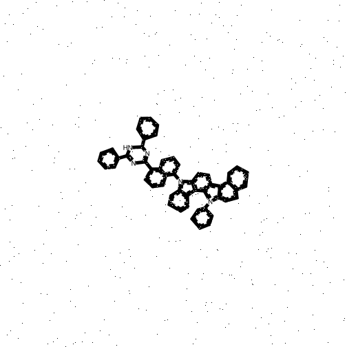 c1ccc(C2=NC(c3cccc4c(-n5c6ccccc6c6c5ccc5c7c8ccccc8ccc7n(-c7ccccc7)c56)cccc34)=NC(c3ccccc3)N2)cc1